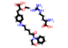 CCOC(Cc1ccc(NCCCCC(=O)N2CCOc3ccccc32)cc1)C(=O)O.N=C(N)NCCCC(N)C(=O)O